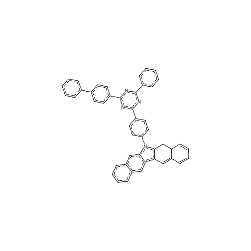 C1=CC2=Cc3c(n(-c4ccc(-c5nc(-c6ccccc6)nc(-c6ccc(-c7ccccc7)cc6)n5)cc4)c4cc5ccccc5cc34)CC2C=C1